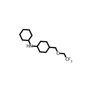 FC(F)(F)COCC1CCC(NC2CCCCC2)CC1